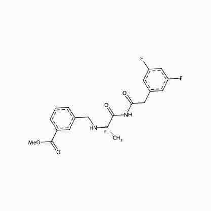 COC(=O)c1cccc(CN[C@@H](C)C(=O)NC(=O)Cc2cc(F)cc(F)c2)c1